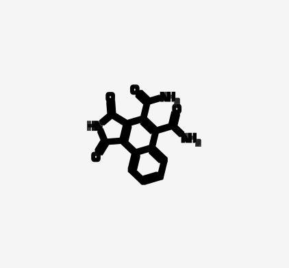 NC(=O)c1c2c(c3ccccc3c1C(N)=O)C(=O)NC2=O